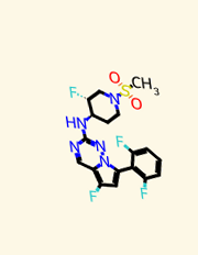 CS(=O)(=O)N1CC[C@@H](Nc2ncc3c(F)cc(-c4c(F)cccc4F)n3n2)[C@H](F)C1